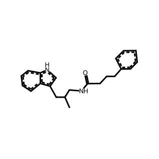 C[C](CNC(=O)CCCc1ccccc1)Cc1c[nH]c2ccccc12